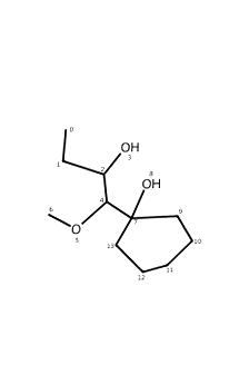 CCC(O)C(OC)C1(O)CCCCC1